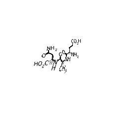 C[C@H](NC(=O)[C@@H](N)CCC(=O)O)C(=O)N[C@@H](CC(N)=O)C(=O)O